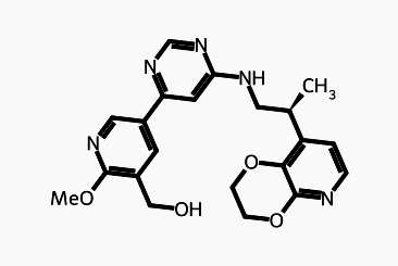 COc1ncc(-c2cc(NC[C@@H](C)c3ccnc4c3OCCO4)ncn2)cc1CO